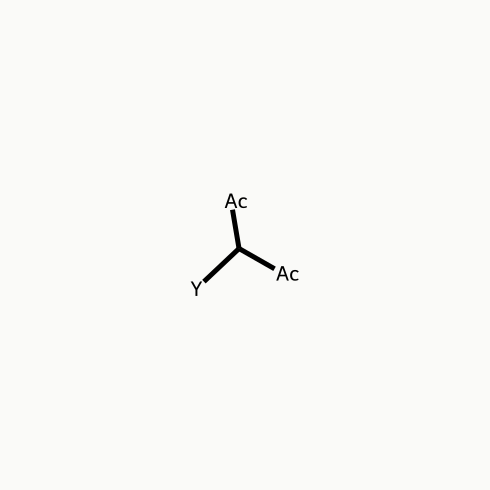 CC(=O)[CH]([Y])C(C)=O